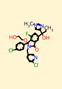 CCC(O)(c1cc(F)c2c(c1)C(=O)N(Cc1ccc(Cl)nc1)[C@@]2(OCCO)c1ccc(Cl)cc1)c1cn(C)cn1